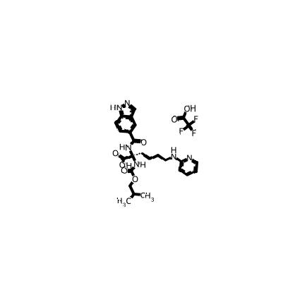 CC(C)COC(=O)N[C@](CCCCNc1ccccn1)(NC(=O)c1ccc2[nH]ncc2c1)C(=O)O.O=C(O)C(F)(F)F